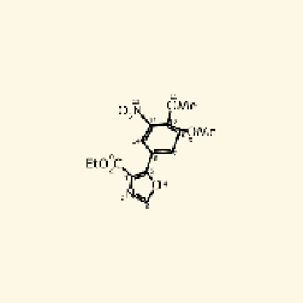 CCOC(=O)c1ncoc1-c1cc(OC)c(OC)c([N+](=O)[O-])c1